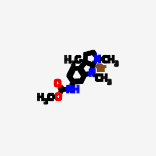 COC(=O)Nc1ccc2c(c1)N(C)[C@]1(Br)N(C)CC[C@]21C